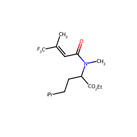 CCOC(=O)C(CCC(C)C)N(C)C(=O)/C=C(\C)C(F)(F)F